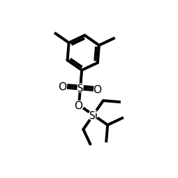 CC[Si](CC)(OS(=O)(=O)c1cc(C)cc(C)c1)C(C)C